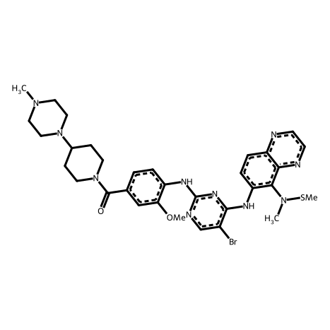 COc1cc(C(=O)N2CCC(N3CCN(C)CC3)CC2)ccc1Nc1ncc(Br)c(Nc2ccc3nccnc3c2N(C)SC)n1